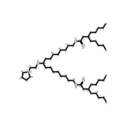 CCCCCC(CCCCC)CC(=O)OCCCCCCCCC(CCCCCCCCOC(=O)CC(CCCCC)CCCCC)OCCN1CCCC1